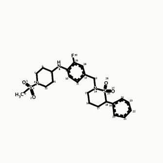 CS(=O)(=O)N1CCC(Nc2ccc(CN3CCCC(c4ccccc4)S3(=O)=O)cc2F)CC1